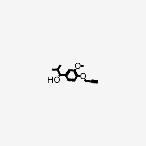 C#CCOc1ccc(C(O)C(C)C)cc1OC